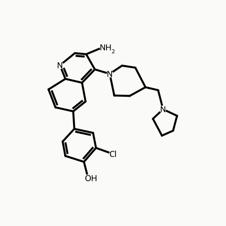 Nc1cnc2ccc(-c3ccc(O)c(Cl)c3)cc2c1N1CCC(CN2CCCC2)CC1